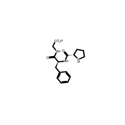 O=C(O)CNC(=O)[C@H](Cc1ccccc1)NC(=O)[C@@H]1CCCN1